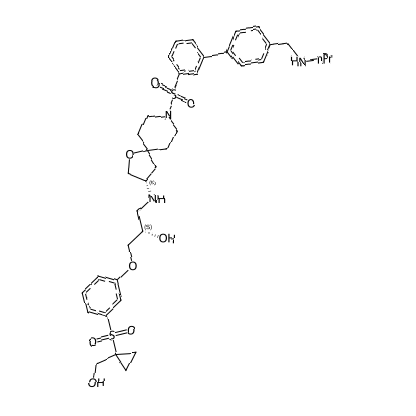 CCCNCc1ccc(-c2cccc(S(=O)(=O)N3CCC4(CC3)C[C@H](NC[C@H](O)COc3cccc(S(=O)(=O)C5(CO)CC5)c3)CO4)c2)cc1